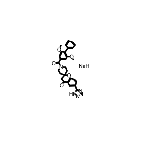 COc1cc(C(=O)N2CCC3(CC2)CC(=O)c2cc(-c4nnn[nH]4)ccc2O3)cc(OC)c1-c1ccccc1.[NaH]